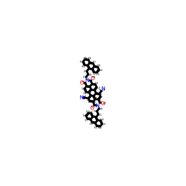 N#Cc1cc2c3c(cc(C#N)c4c5ccc6c7c(ccc(c1c34)c75)C(=O)N(CCCc1c3ccccc3cc3ccccc13)C6=O)C(=O)N(CCCc1c3ccccc3cc3ccccc13)C2=O